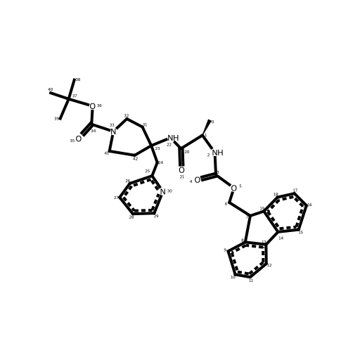 C[C@@H](NC(=O)OCC1c2ccccc2-c2ccccc21)C(=O)NC1(Cc2ccccn2)CCN(C(=O)OC(C)(C)C)CC1